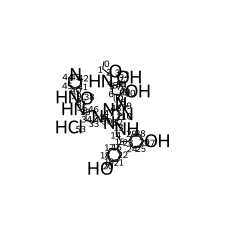 CCC(=O)N[C@H]1C[C@@H](n2cnc3c(NCC(c4ccc(O)cc4)c4ccc(O)cc4)nc(N4CCC(NC(=O)Nc5ccncc5)C4)nc32)[C@H](O)[C@@H]1O.Cl